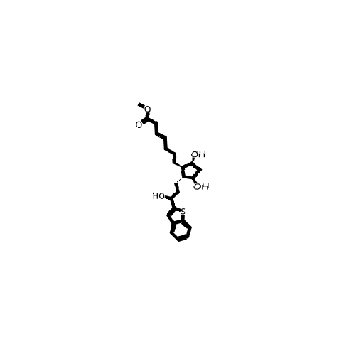 COC(=O)CCCCCC[C@@H]1[C@@H](CCC(O)c2cc3ccccc3s2)[C@H](O)C[C@@H]1O